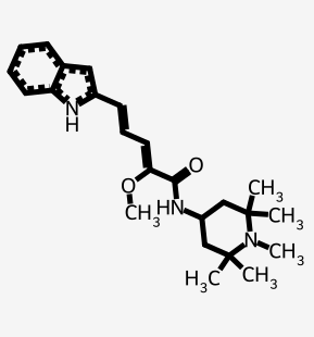 CO/C(=C\C=C\c1cc2ccccc2[nH]1)C(=O)NC1CC(C)(C)N(C)C(C)(C)C1